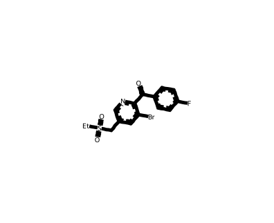 CCS(=O)(=O)Cc1cnc(C(=O)c2ccc(F)cc2)c(Br)c1